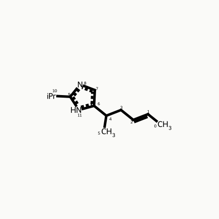 C/C=C/CC(C)c1cnc(C(C)C)[nH]1